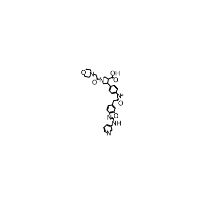 CN(C(=O)Cc1ccc2nc(Nc3cccnc3)oc2c1)c1ccc(C2CN(C(=O)CN3CCOCC3)CC2C(=O)O)cc1